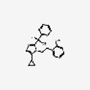 COc1ccccc1CCn1c(C2CC2)nnc1C(C)(C)c1ccccn1